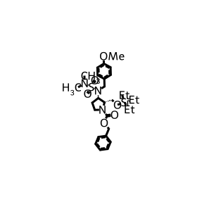 CC[Si](CC)(CC)OC[C@H]1[C@@H](N(Cc2ccc(OC)cc2)S(=O)(=O)N(C)C)CCN1C(=O)OCc1ccccc1